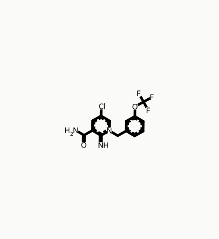 N=c1c(C(N)=O)cc(Cl)cn1Cc1cccc(OC(F)(F)F)c1